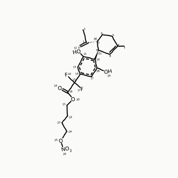 C=C(C)[C@@H]1CCC(C)=C[C@H]1c1c(O)cc(C(F)(F)C(=O)OCCCCO[N+](=O)[O-])cc1O